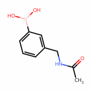 CC(=O)NCc1cccc(B(O)O)c1